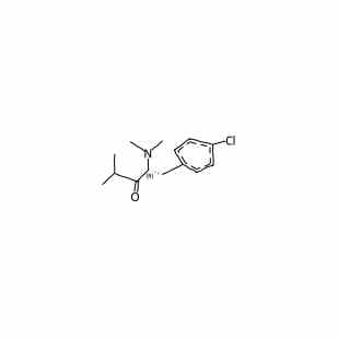 CC(C)C(=O)[C@@H](Cc1ccc(Cl)cc1)N(C)C